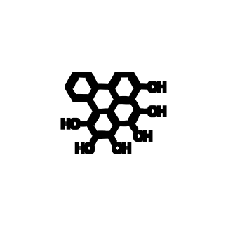 Oc1c(O)c2c(O)c(O)c3c(O)ccc4c5ccccc5c(c1O)c2c34